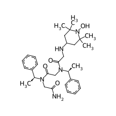 C[C@@H](c1ccccc1)N(CC(N)=O)C(=O)CN(C(=O)CNC1CC(C)(C)N(O)C(C)(C)C1)[C@@H](C)c1ccccc1